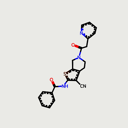 N#Cc1c(NC(=O)c2ccccc2)sc2c1CCN(C(=O)Cc1ccccn1)C2